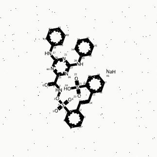 O=C(NOS(=O)(=O)c1ccccc1C=Cc1ccccc1S(=O)(=O)O)c1nc(Nc2ccccc2)nc(Nc2ccccc2)n1.[NaH]